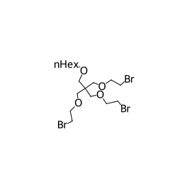 CCCCCCOCC(COCCBr)(COCCBr)COCCBr